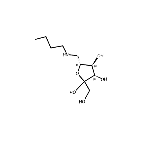 CCCCNC[C@H]1OC(O)(CO)[C@@H](O)[C@@H]1O